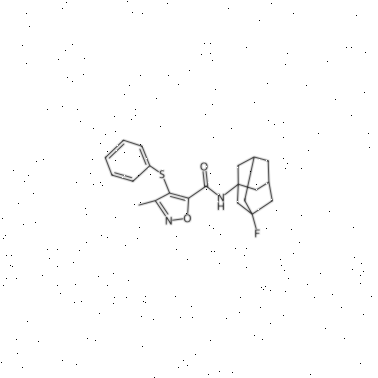 Cc1noc(C(=O)NC23CC4CC(CC(F)(C4)C2)C3)c1Sc1ccccc1